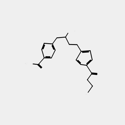 COC(=O)c1ccc(CC(CCc2ccc(C(=O)CCC(C)(C)C)cc2)C(=O)O)cc1